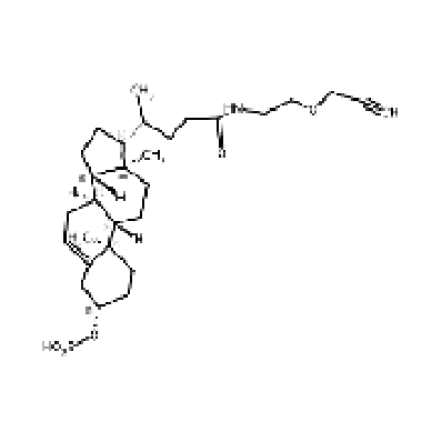 C#CCOCCNC(=O)CCC(C)[C@H]1CC[C@H]2[C@@H]3CC=C4C[C@@H](OS(=O)(=O)O)CC[C@]4(C)[C@H]3CC[C@]12C